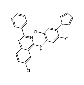 Clc1ccc2nc(-c3cccnc3)nc(Nc3cc(Cl)c(-n4cccc4)cc3Cl)c2c1